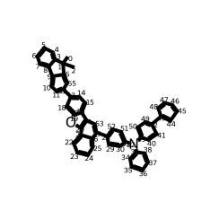 CC1(C)c2ccccc2-c2ccc(-c3ccc4c(c3)oc3c5ccccc5c(-c5ccc(N(c6ccccc6)c6ccc(-c7ccccc7)cc6)cc5)cc43)cc21